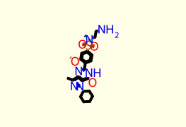 COc1cc(S(=O)(=O)N(C)CCN)ccc1-c1nc2c(C)nn(C3CCCCC3)c2c(=O)[nH]1